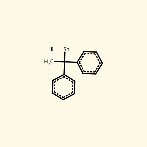 C[C]([Sn])(c1ccccc1)c1ccccc1.I